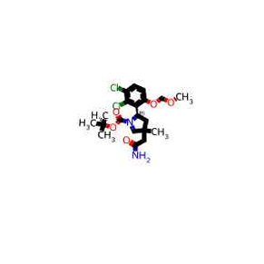 COCOc1ccc(Cl)c(Cl)c1[C@H]1CC(C)(CC(N)=O)CN1C(=O)OC(C)(C)C